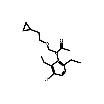 CCc1ccc(Cl)c(CC)c1N(COCCC1CC1)C(C)=O